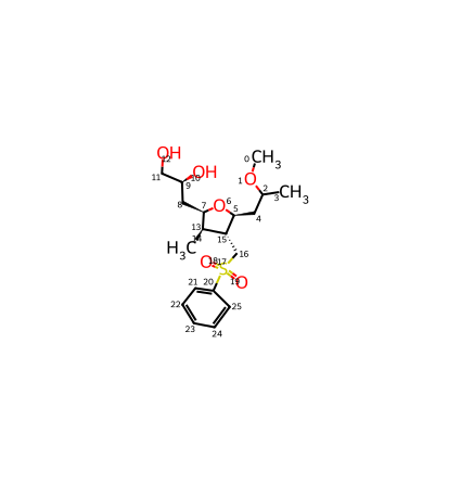 COC(C)C[C@@H]1O[C@H](C[C@H](O)CO)[C@H](C)[C@H]1CS(=O)(=O)c1ccccc1